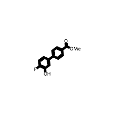 COC(=O)c1ccc(-c2ccc(F)c(O)c2)cc1